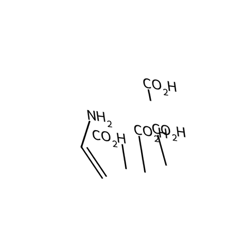 C=CN.CC(=O)O.CC(=O)O.CC(=O)O.CC(=O)O